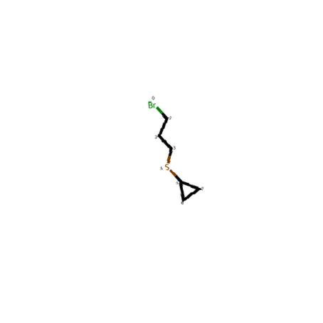 BrCCCSC1CC1